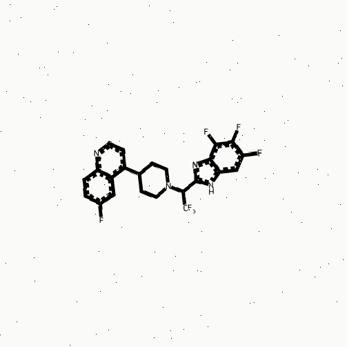 Fc1ccc2nccc(C3CCN(C(c4nc5c(F)c(F)c(F)cc5[nH]4)C(F)(F)F)CC3)c2c1